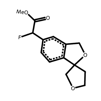 COC(=O)C(F)c1ccc2c(c1)COC21CCOC1